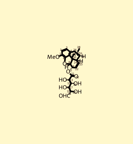 COc1ccc2c3c1O[C@H]1[C@@H](OC(=O)[C@@H](O)[C@@H](O)[C@H](O)[C@@H](O)C=O)C=C[C@H]4[C@@H](C2)N(C)CC[C@@]341